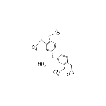 N.c1cc(CC2CO2)c(CC2CO2)cc1Cc1ccc(CC2CO2)c(CC2CO2)c1